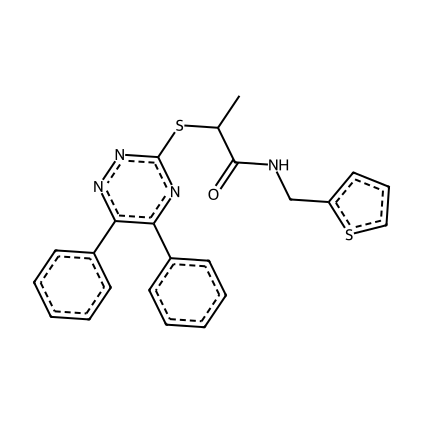 CC(Sc1nnc(-c2ccccc2)c(-c2ccccc2)n1)C(=O)NCc1cccs1